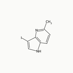 Cc1ccc2[nH]cc(I)c2n1